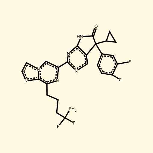 O=C1Nc2nc(-c3cn4ccnc4c(CCCC(F)(F)P)n3)ncc2C1(c1ccc(Cl)c(F)c1)C1CC1